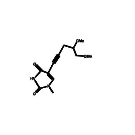 COCC(CC#Cc1cn(C)c(=O)[nH]c1=O)OC